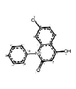 O=c1cc(O)c2ccc(Cl)cc2n1-c1ccccc1